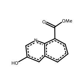 COC(=O)c1cccc2cc(O)cnc12